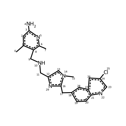 Cc1cc(N)nc(C)c1CNCc1cn(C)c(Cc2ccc3ncc(Cl)cc3c2)n1